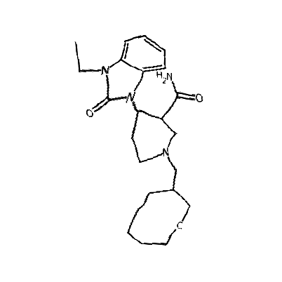 CCn1c(=O)n(C2CCN(CC3CCCCCCC3)CC2C(N)=O)c2ccccc21